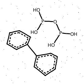 OP(O)OP(O)O.c1ccc(-c2ccccc2)cc1